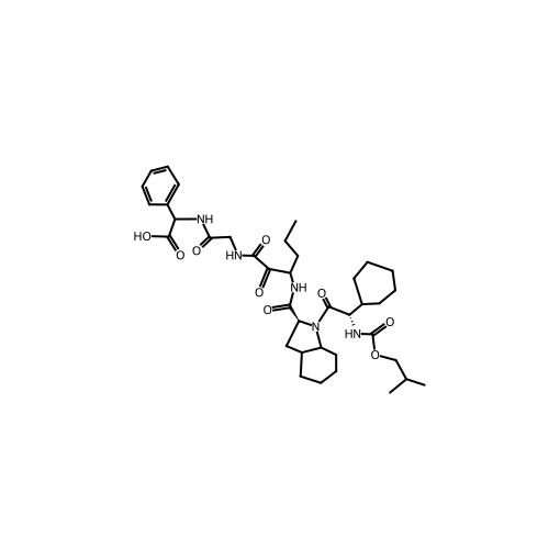 CCCC(NC(=O)[C@@H]1CC2CCCCC2N1C(=O)[C@@H](NC(=O)OCC(C)C)C1CCCCC1)C(=O)C(=O)NCC(=O)NC(C(=O)O)c1ccccc1